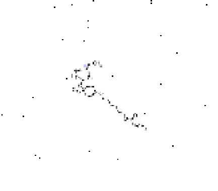 C=CC(=O)OCCCCCCOC1=CCC(C=O)(OC(=C)/C=C\C(C#N)=C/C)C=C1